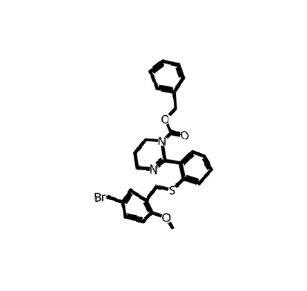 COc1ccc(Br)cc1CSc1ccccc1C1=NCCCN1C(=O)OCc1ccccc1